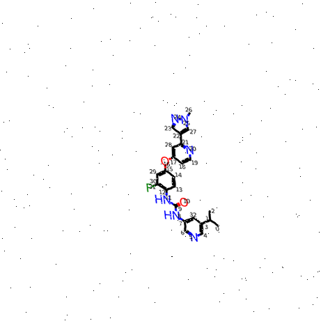 CC(C)c1cncc(NC(=O)Nc2ccc(Oc3ccnc(-c4cnn(C)c4)c3)cc2F)c1